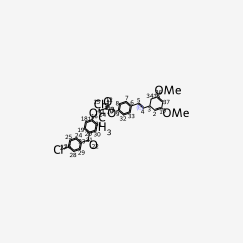 COC1=CC(/C=C/c2ccc(OC(=O)C(C)(C)Oc3ccc(C(=O)c4ccc(Cl)cc4)cc3)cc2)CC(OC)=C1